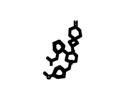 COc1ccc(CN2CCN(C3CC4(CCNCC4)C3)C(c3ccccc3CC(C)C)C2)cc1